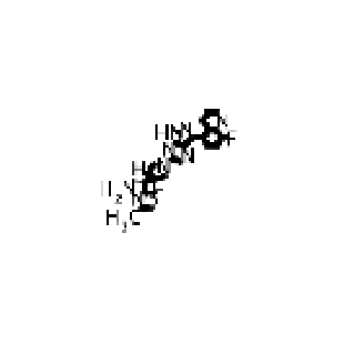 Cc1csc([C@]2(CN)[C@@H]3CN(c4cnc5c(-c6ccc(F)c7ncccc67)n[nH]c5n4)C[C@@H]32)n1